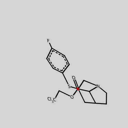 O=C(OCC(Cl)(Cl)Cl)C1C2CCN1CC(Sc1ccc(F)cc1)C2